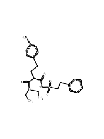 CCN(CC)C(=O)C(CCc1ccc(N)cc1)C(=O)NS(=O)(=O)CCc1ccccc1